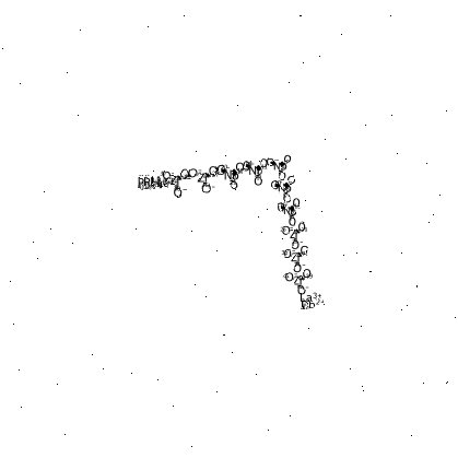 [La+3].[La+3].[La+3].[O]=[Nb](=[O])[O-].[O]=[Nb](=[O])[O-].[O]=[Nb](=[O])[O-].[O]=[Nb](=[O])[O-].[O]=[Nb](=[O])[O-].[O]=[Zr]([O-])[O-].[O]=[Zr]([O-])[O-].[O]=[Zr]([O-])[O-].[O]=[Zr]([O-])[O-].[O]=[Zr]([O-])[O-].[Pb+2].[Pb+2].[Pb+2]